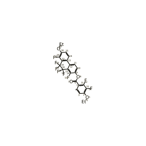 CCOc1ccc(C(=O)Oc2ccc3c(c2F)C(F)(F)C(F)(F)c2c-3ccc(OCC)c2F)c(F)c1F